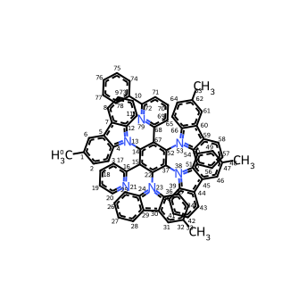 Cc1ccc2c(c1)c1ccccc1n2-c1c(-c2ccccn2)c(-n2c3ccccc3c3cc(C)ccc32)c(-n2c3ccccc3c3cc(C)ccc32)c(-n2c3ccccc3c3cc(C)ccc32)c1-c1cccc(-c2ccccc2)n1